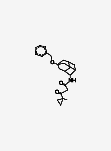 CC1(C(=O)CC(=O)NC2C3CC4CC2CC(OCc2ccccc2)(C4)C3)CC1